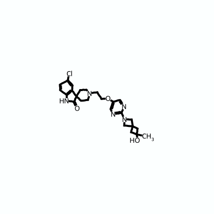 CC1(O)CC2(CN(c3ncc(OCCN4CCC5(CC4)C(=O)Nc4ccc(Cl)cc45)cn3)C2)C1